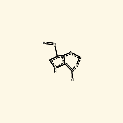 N=Nc1c[nH]c2c(Cl)ncnc12